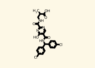 CC(CNC(=O)c1ncc(C(=O)NC(c2ccc(Cl)cc2)c2ccc(Cl)cc2)c(O)n1)C(=O)O